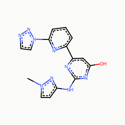 Cn1ccc(Nc2nc(O)cc(-c3cccc(-n4ccnn4)n3)n2)n1